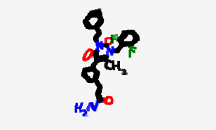 Cc1c(-c2cccc(CCC(N)=O)c2)c(=O)n(CCc2ccccc2)c(=O)n1Cc1c(F)cccc1F